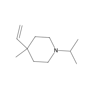 C=CC1(C)CCN(C(C)C)CC1